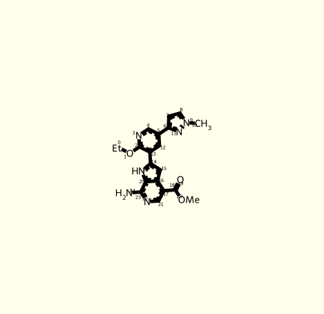 CCOc1ncc(-c2ccn(C)n2)cc1-c1cc2c(C(=O)OC)cnc(N)c2[nH]1